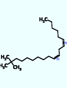 CCCCC/C=C\C/C=C\CCCCCCCC(C)(C)C